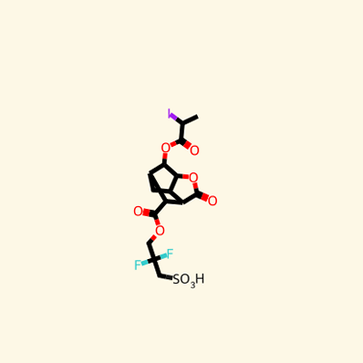 CC(I)C(=O)OC1C2CC3C1OC(=O)C3C2C(=O)OCC(F)(F)CS(=O)(=O)O